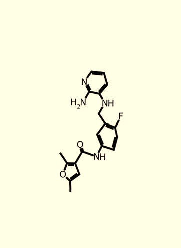 Cc1cc(C(=O)Nc2ccc(F)c(CNc3cccnc3N)c2)c(C)o1